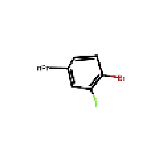 [CH2]CCc1ccc(Br)c(F)c1